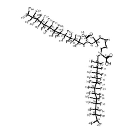 CC(CCN(CC(F)(F)C(F)(F)C(F)(F)C(F)(F)C(F)(F)C(F)(F)C(F)(F)C(F)(F)C(F)(F)C(F)(F)C(F)(F)C(F)F)C(=O)O)CC(C)(C)CN(CC(F)(F)C(F)(F)C(F)(F)C(F)(F)C(F)(F)C(F)(F)C(F)(F)C(F)(F)C(F)(F)C(F)(F)C(F)(F)C(F)F)C(=O)O